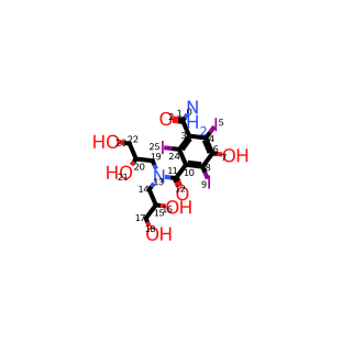 NC(=O)c1c(I)c(O)c(I)c(C(=O)N(CC(O)CO)CC(O)CO)c1I